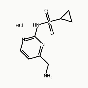 Cl.NCc1ccnc(NS(=O)(=O)C2CC2)n1